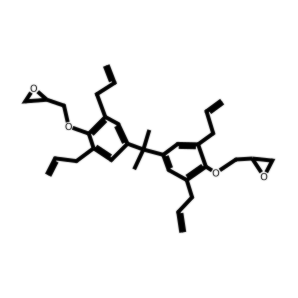 C=CCc1cc(C(C)(C)c2cc(CC=C)c(OCC3CO3)c(CC=C)c2)cc(CC=C)c1OCC1CO1